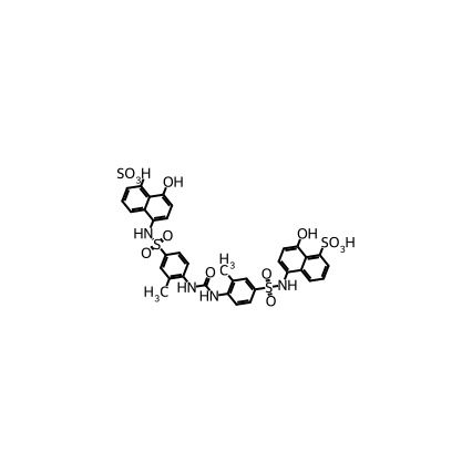 Cc1cc(S(=O)(=O)Nc2ccc(O)c3c(S(=O)(=O)O)cccc23)ccc1NC(=O)Nc1ccc(S(=O)(=O)Nc2ccc(O)c3c(S(=O)(=O)O)cccc23)cc1C